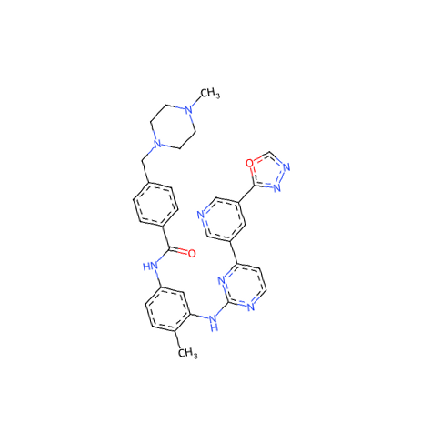 Cc1ccc(NC(=O)c2ccc(CN3CCN(C)CC3)cc2)cc1Nc1nccc(-c2cncc(-c3nnco3)c2)n1